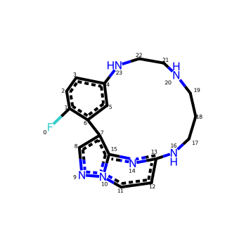 Fc1ccc2cc1-c1cnn3ccc(nc13)NCCCNCCN2